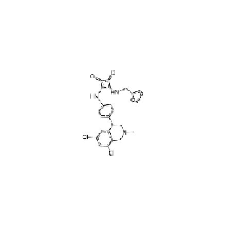 CN1Cc2c(Cl)cc(Cl)cc2C(c2ccc(Nc3c(NCc4ccco4)c(=O)c3=O)cc2)C1